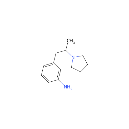 CC(Cc1cccc(N)c1)N1CCCC1